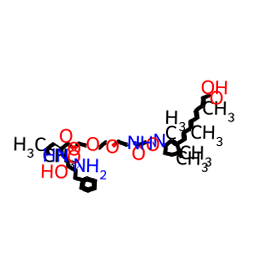 CC1=C(/C=C/C(C)=C/C=C/C(C)=C/C(=O)O)C(C)(C)CC/C1=N\OCC(=O)NCCOCCOCCOC(=O)[C@H](CC(C)C)NC(=O)[C@@H](O)[C@H](N)Cc1ccccc1